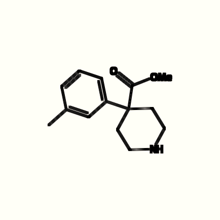 COC(=O)C1(c2cccc(C)c2)CCNCC1